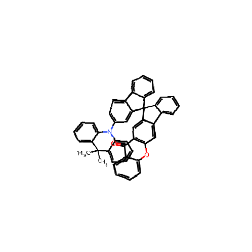 CC1(C)c2ccccc2N(c2ccc3c(c2)C2(c4ccccc4-3)c3ccccc3-c3cc4oc5ccccc5c(=O)c4cc32)c2ccccc21